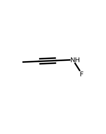 CC#CNF